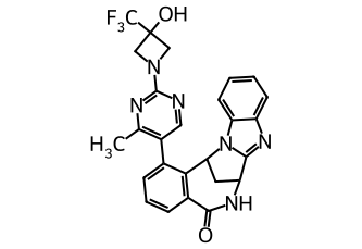 Cc1nc(N2CC(O)(C(F)(F)F)C2)ncc1-c1cccc2c1C1CC(NC2=O)c2nc3ccccc3n21